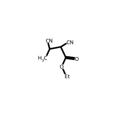 CCOC(=O)C(C#N)C(C)C#N